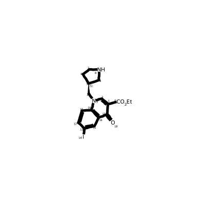 CCOC(=O)c1cn(C[C@H]2CCNC2)c2ccc(I)cc2c1=O